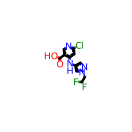 O=C(O)c1cnc(Cl)cc1Nc1cnn(CC(F)F)c1